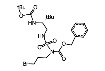 CC(C)(C)OC(=O)N[C@@H](CNS(=O)(=O)N(CCCBr)C(=O)OCc1ccccc1)C(C)(C)C